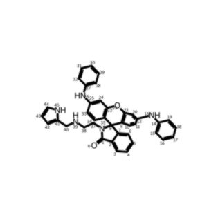 O=C1c2ccccc2C2(c3ccc(Nc4ccccc4)cc3Oc3cc(Nc4ccccc4)ccc32)N1CCNCc1ccc[nH]1